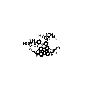 CCC(C)(CCCC(C)C)c1ccc2c(c1)C1(C3=C2C=CC(C(C)(CC)CCCC(C)C)C3)c2ccccc2-c2c(N(c3cccc(BOC(C)(C)C(C)(C)O)c3)c3cccc(B4OC(C)(C)C(C)(C)O4)c3)cccc21